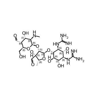 CN[C@H]1[C@@H](O[C@@H]2[C@@H](O[C@H]3[C@H](O)[C@@H](O)[C@H](NC(=N)N)[C@@H](O)[C@@H]3NC(=N)N)O[C@H](C)[C@@]2(O)C=O)O[C@@H](CO)[C@H](C=O)[C@@H]1O